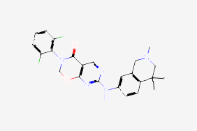 CN1Cc2cc(Nc3ncc4c(n3)OCN(c3c(Cl)cccc3Cl)C4=O)ccc2C(C)(C)C1